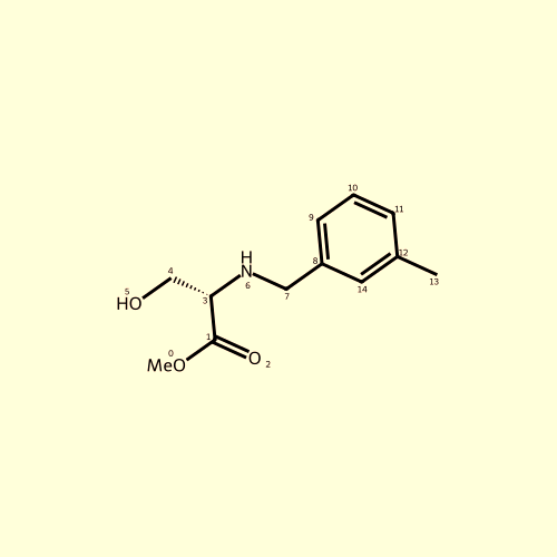 COC(=O)[C@H](CO)NCc1cccc(C)c1